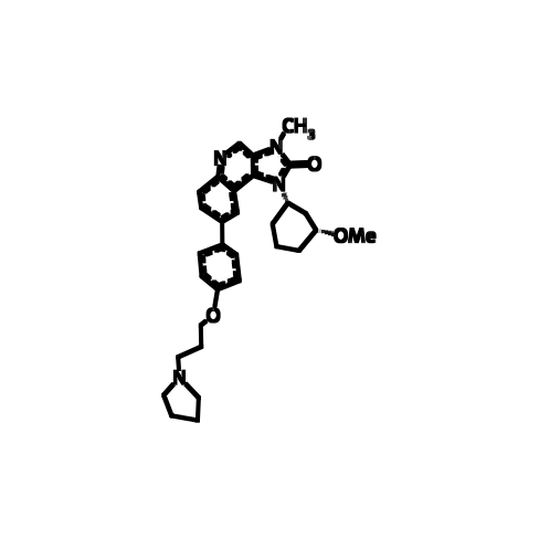 CO[C@@H]1CCC[C@H](n2c(=O)n(C)c3cnc4ccc(-c5ccc(OCCCN6CCCC6)cc5)cc4c32)C1